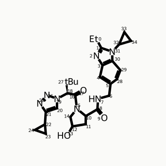 CCc1nc2cc(CNC(=O)C3CC(O)CN3C(=O)[C@@H](n3cc(C4CC4)nn3)C(C)(C)C)ccc2n1C1CC1